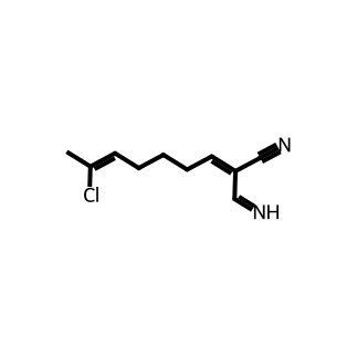 C/C(Cl)=C/CCC/C=C(/C#N)C=N